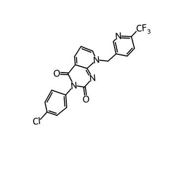 O=c1nc2n(Cc3ccc(C(F)(F)F)nc3)cccc-2c(=O)n1-c1ccc(Cl)cc1